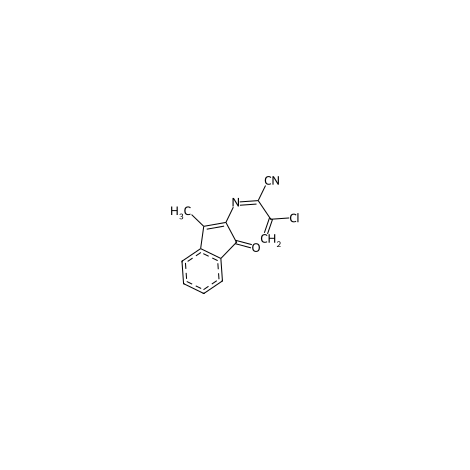 C=C(Cl)/C(C#N)=N\C1=C(C)c2ccccc2C1=O